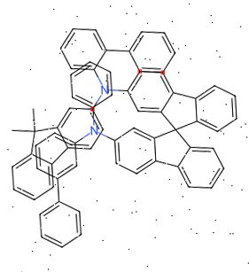 CC1(C)c2ccccc2-c2ccc(N(c3ccc4c(c3)C3(c5ccccc5-c5ccc(N(c6ccccc6)c6cccc(-c7ccccc7)c6)cc53)c3ccccc3-4)c3ccccc3-c3ccccc3)cc21